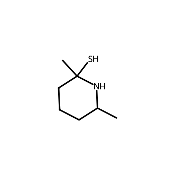 CC1CCCC(C)(S)N1